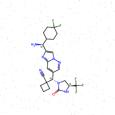 N#CC1([C@H](c2cnn3cc([C@@H](N)C4CCC(F)(F)CC4)nc3c2)N2C[C@@H](C(F)(F)F)NC2=O)CCC1